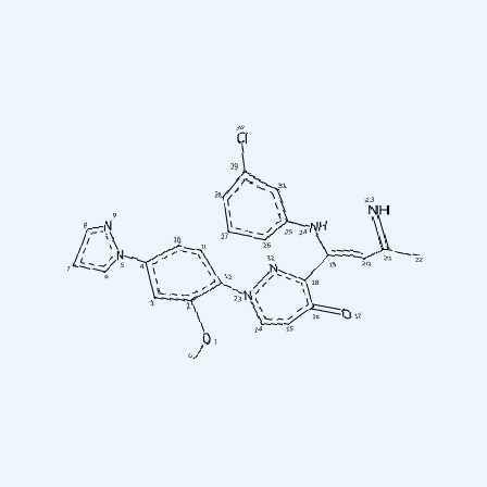 COc1cc(-n2cccn2)ccc1-n1ccc(=O)c(/C(=C/C(C)=N)Nc2cccc(Cl)c2)n1